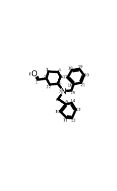 O=CC1CCCC(N(Cc2ccccc2)Cc2ccccc2)C1